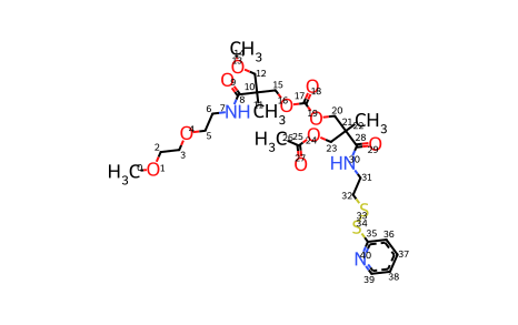 COCCOCCNC(=O)C(C)(COC)COC(=O)OCC(C)(COC(C)=O)C(=O)NCCSSc1ccccn1